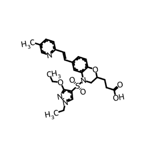 CCOc1nn(CC)cc1S(=O)(=O)N1CC(CCC(=O)O)Oc2ccc(C=Cc3ccc(C)cn3)cc21